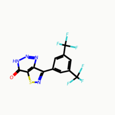 O=c1[nH]nnc2c(-c3cc(C(F)(F)F)cc(C(F)(F)F)c3)nsc12